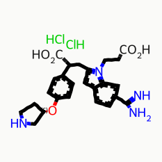 Cl.Cl.N=C(N)c1ccc2cc(CC(C(=O)O)c3ccc(O[C@H]4CCNC4)cc3)n(CCC(=O)O)c2c1